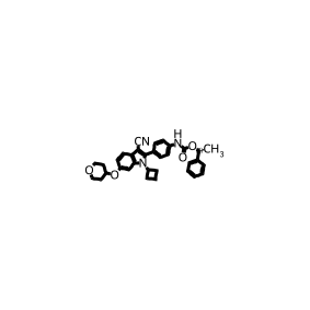 C[C@@H](OC(=O)Nc1ccc(-c2c(C#N)c3ccc(OC4CCOCC4)cc3n2C2CCC2)cc1)c1ccccc1